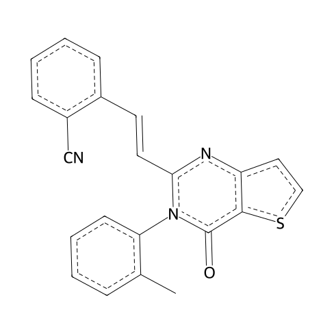 Cc1ccccc1-n1c(C=Cc2ccccc2C#N)nc2ccsc2c1=O